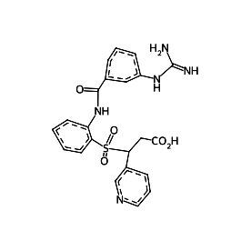 N=C(N)Nc1cccc(C(=O)Nc2ccccc2S(=O)(=O)C(CC(=O)O)c2cccnc2)c1